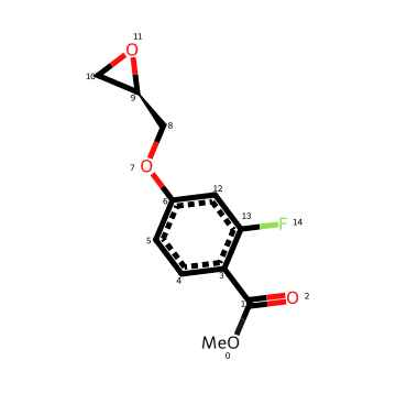 COC(=O)c1ccc(OC[C@H]2CO2)cc1F